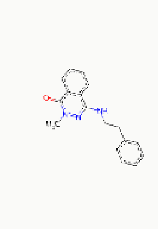 Cn1nc(NCCc2ccccc2)c2ccccc2c1=O